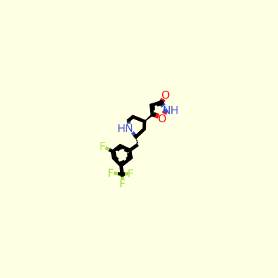 O=c1cc([C@@H]2CCN[C@@H](Cc3cc(F)cc(C(F)(F)F)c3)C2)o[nH]1